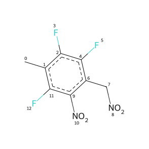 Cc1c(F)c(F)c(C[N+](=O)[O-])c([N+](=O)[O-])c1F